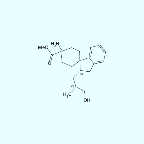 COC(=O)C1(N)CCC2(CC1)c1ccccc1C[C@@H]2C[C@@H](C)CO